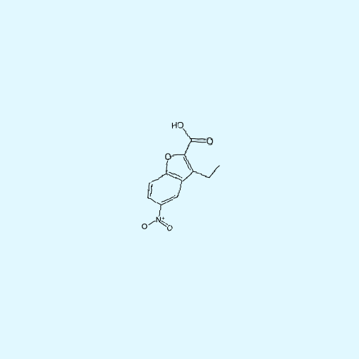 CCc1c(C(=O)O)oc2ccc([N+](=O)[O-])cc12